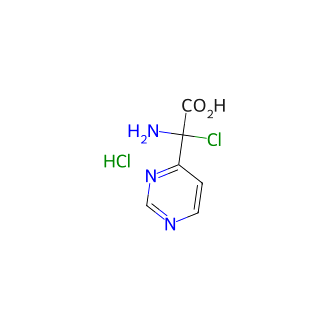 Cl.NC(Cl)(C(=O)O)c1ccncn1